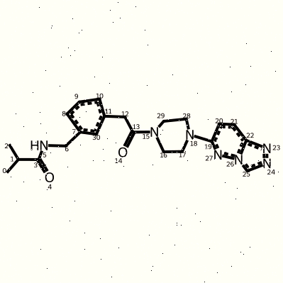 CC(C)C(=O)NCc1cccc(CC(=O)N2CCN(c3ccc4nncn4n3)CC2)c1